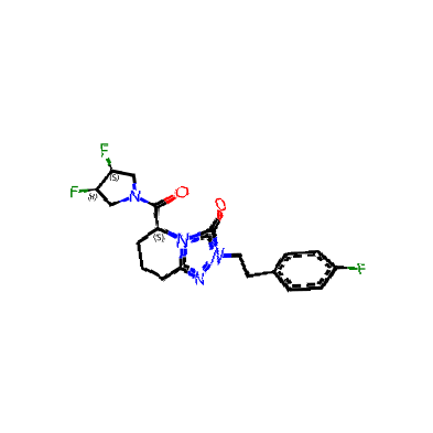 O=C([C@@H]1CCCc2nn(CCc3ccc(F)cc3)c(=O)n21)N1C[C@@H](F)[C@@H](F)C1